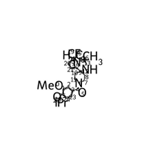 COc1cc(C(=O)N2CCC3(CC2)NCC(C)(C)n2c(C(F)(F)F)ccc23)ccc1OC(C)C